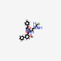 COc1ccc(-c2ccccc2)cc1C(=O)NC(CCCNC(=N)CF)c1ncc(-c2ccccc2)o1